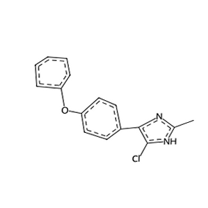 Cc1nc(-c2ccc(Oc3ccccc3)cc2)c(Cl)[nH]1